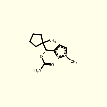 Cn1ccc([C@H](OC(N)=O)C2(C)CCCC2)n1